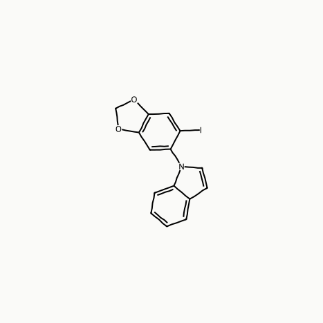 Ic1cc2c(cc1-n1ccc3ccccc31)OCO2